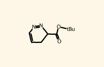 CC(C)(C)OC(=O)C1CC=CN=N1